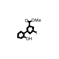 COC(=O)c1cc(I)cc(-c2ccccc2O)c1